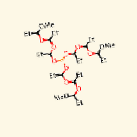 CCC(OC)OC(CC)OC(CC)OP(OC(CC)OC(CC)OC(CC)OC)OC(CC)OC(CC)OC(CC)OC